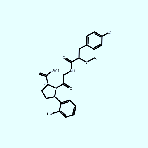 COC(=O)[C@@H]1CCC(c2ccccc2O)N1C(=O)CNC(=O)C(Cc1ccc(Cl)cc1)SC(C)=O